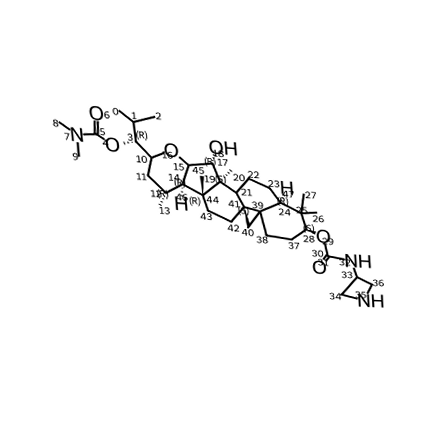 CC(C)[C@@H](OC(=O)N(C)C)C1C[C@@H](C)[C@H]2C(O1)[C@H](O)[C@@]1(C)C3CC[C@H]4C(C)(C)[C@@H](OC(=O)NC5CNC5)CCC45C[C@@]35CC[C@]21C